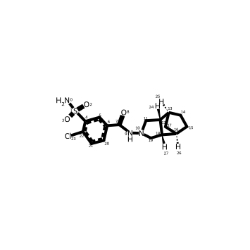 NS(=O)(=O)c1cc(C(=O)NN2C[C@@H]3[C@H]4CC[C@H](C4)[C@@H]3C2)ccc1Cl